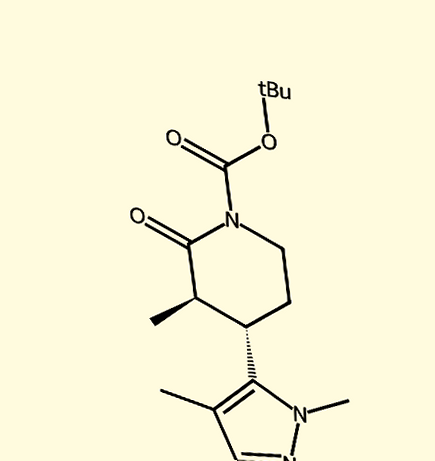 Cc1cnn(C)c1[C@H]1CCN(C(=O)OC(C)(C)C)C(=O)[C@@H]1C